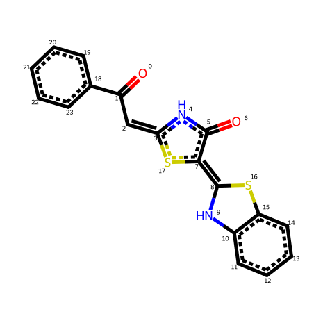 O=C(C=c1[nH]c(=O)c(=C2Nc3ccccc3S2)s1)c1ccccc1